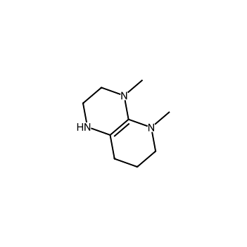 CN1CCCC2=C1N(C)CCN2